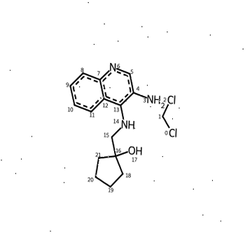 ClCCl.Nc1cnc2ccccc2c1NCC1(O)CCCC1